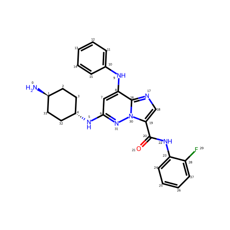 N[C@H]1CC[C@H](Nc2cc(Nc3ccccc3)c3ncc(C(=O)Nc4ccccc4F)n3n2)CC1